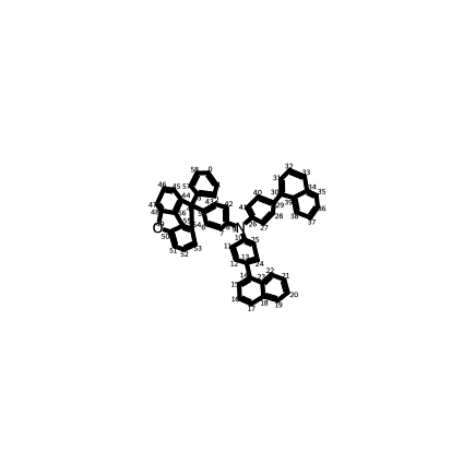 c1ccc(C2(c3ccc(N(c4ccc(-c5cccc6ccccc56)cc4)c4ccc(-c5cccc6ccccc56)cc4)cc3)c3cccc4oc5cccc2c5c34)cc1